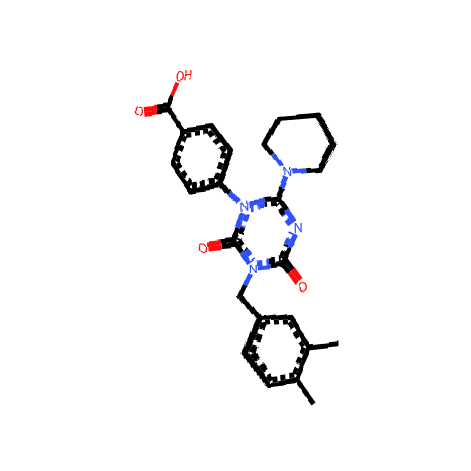 Cc1ccc(Cn2c(=O)nc(N3CCCCC3)n(-c3ccc(C(=O)O)cc3)c2=O)cc1C